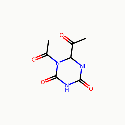 CC(=O)C1NC(=O)NC(=O)N1C(C)=O